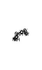 O=C(NCc1ccc([S+]([O-])N2CCCCC2)cc1)c1ccc2[nH]ncc2c1